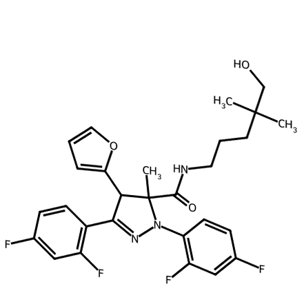 CC(C)(CO)CCCNC(=O)C1(C)C(c2ccco2)C(c2ccc(F)cc2F)=NN1c1ccc(F)cc1F